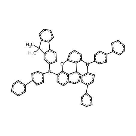 CC1(C)c2ccccc2-c2ccc(N(c3ccc(-c4ccccc4)cc3)c3ccc4cccc5c4c3Oc3cccc(N(c4ccc(-c6ccccc6)cc4)c4ccc(-c6ccccc6)cc4)c3-5)cc21